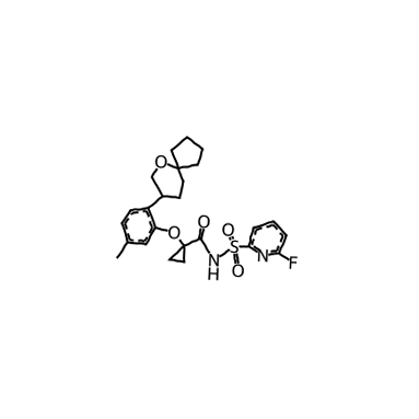 Cc1ccc(C2CCC3(CCCC3)OC2)c(OC2(C(=O)NS(=O)(=O)c3cccc(F)n3)CC2)c1